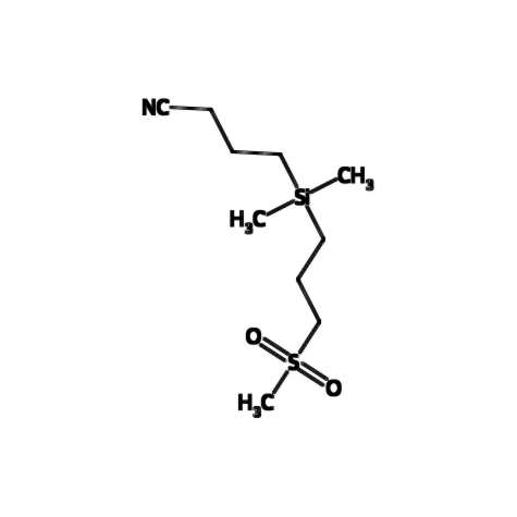 C[Si](C)(CCCC#N)CCCS(C)(=O)=O